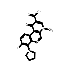 Cn1cc(C(=O)O)c(=O)c2c3ccc(F)c(N4CCCC4)c3ncc21